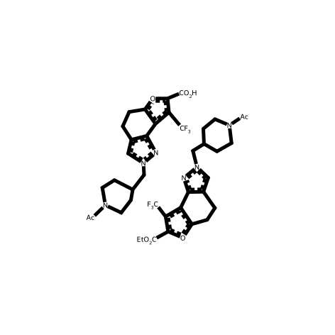 CC(=O)N1CCC(Cn2cc3c(n2)-c2c(oc(C(=O)O)c2C(F)(F)F)CC3)CC1.CCOC(=O)c1oc2c(c1C(F)(F)F)-c1nn(CC3CCN(C(C)=O)CC3)cc1CC2